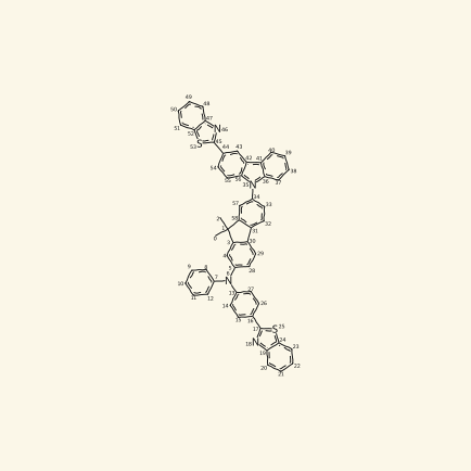 CC1(C)c2cc(N(c3ccccc3)c3ccc(-c4nc5ccccc5s4)cc3)ccc2-c2ccc(-n3c4ccccc4c4cc(-c5nc6ccccc6s5)ccc43)cc21